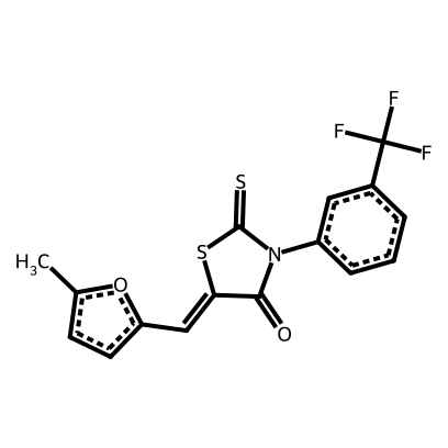 Cc1ccc(C=C2SC(=S)N(c3cccc(C(F)(F)F)c3)C2=O)o1